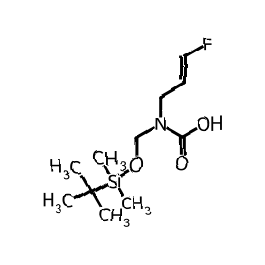 CC(C)(C)[Si](C)(C)OCN(CC=CF)C(=O)O